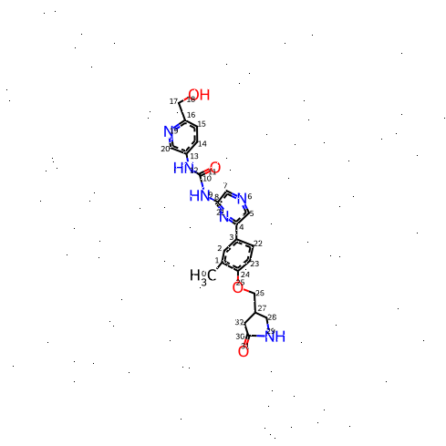 Cc1cc(-c2cncc(NC(=O)Nc3ccc(CO)nc3)n2)ccc1OCC1CNC(=O)C1